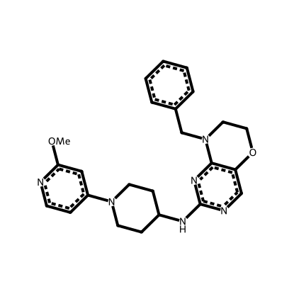 COc1cc(N2CCC(Nc3ncc4c(n3)N(Cc3ccccc3)CCO4)CC2)ccn1